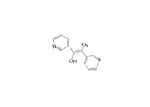 N#C/C(=C(/O)c1cccnc1)c1cccnc1